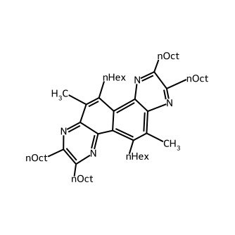 CCCCCCCCc1nc2c(C)c(CCCCCC)c3c4nc(CCCCCCCC)c(CCCCCCCC)nc4c(C)c(CCCCCC)c3c2nc1CCCCCCCC